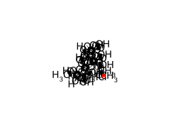 CC(=O)N[C@@H]1[C@@H](O)[C@H](O[C@@H]2O[C@H](C(=O)O)[C@@H](O[C@@H]3O[C@H](CO)[C@@H](O[C@H]4O[C@@H](C(=O)O)[C@H](O)[C@@H](O)[C@@H]4OS(=O)(=O)O)[C@H](OS(=O)(=O)O)[C@H]3NS(=O)(=O)O)[C@H](O)[C@H]2OS(=O)(=O)O)[C@H](COS(=O)(=O)O)O[C@H]1O.CN(C)C.Cl